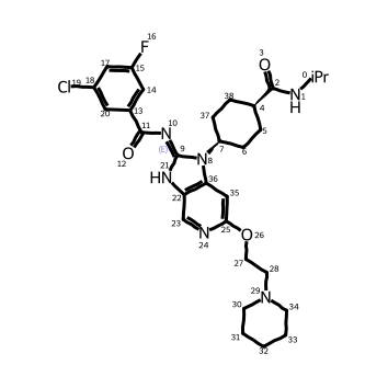 CC(C)NC(=O)[C@H]1CC[C@@H](n2/c(=N/C(=O)c3cc(F)cc(Cl)c3)[nH]c3cnc(OCCN4CCCCC4)cc32)CC1